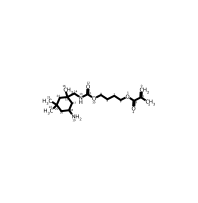 C=C(C)C(=O)OCCCCOC(=O)NCC1(C)CC(N)CC(C)(C)C1